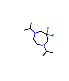 CC(C)N1CCN(C(C)C)CC(F)(F)C1